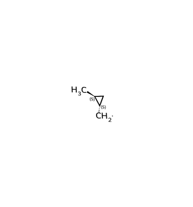 [CH2][C@H]1C[C@@H]1C